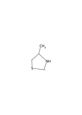 CC1CS[C]N1